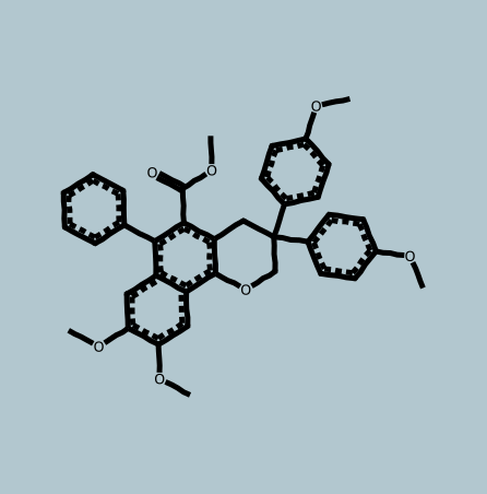 COC(=O)c1c2c(c3cc(OC)c(OC)cc3c1-c1ccccc1)OCC(c1ccc(OC)cc1)(c1ccc(OC)cc1)C2